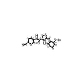 N#Cc1ccc(NC(=O)C2CSC(Cc3c(Cl)cccc3CI)=N2)cc1